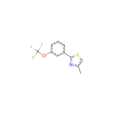 Cc1csc(-c2cccc(OC(F)(F)F)c2)n1